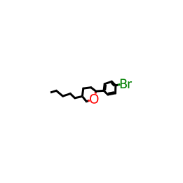 CCCCCC1CCC(c2ccc(Br)cc2)OC1